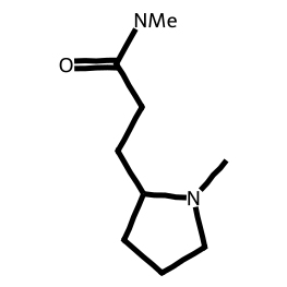 CNC(=O)CCC1CCCN1C